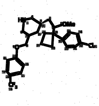 COC(C[C@H]1CNCC(COc2ccc(C(F)(F)F)cc2)C1)C1(c2ccc(Cl)cc2)CCC1